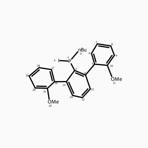 CCCCP(I)c1c(-c2ccccc2OC)cccc1-c1ccccc1OC